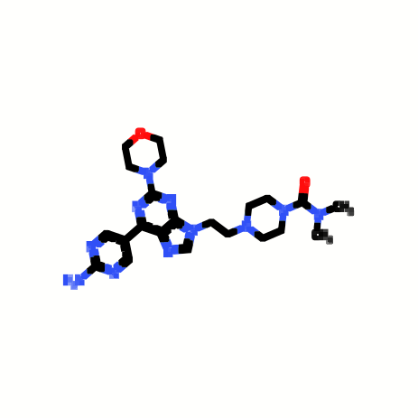 CN(C)C(=O)N1CCN(CCn2cnc3c(-c4cnc(N)nc4)nc(N4CCOCC4)nc32)CC1